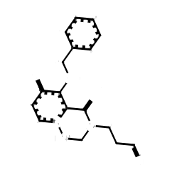 C=CCCN1CNn2ccc(=O)c(OCc3ccccc3)c2C1=O